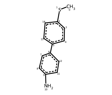 CSc1ccc(-c2ccc(N)cc2)cc1